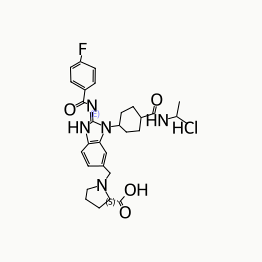 CC(C)NC(=O)C1CCC(n2/c(=N/C(=O)c3ccc(F)cc3)[nH]c3ccc(CN4CCC[C@H]4C(=O)O)cc32)CC1.Cl